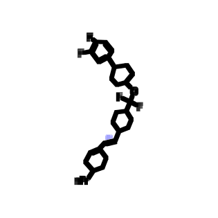 CCCC1CC=C(/C=C/C2CCC(C(F)(F)OC3CCC(c4ccc(F)c(F)c4)CC3)CC2)CC1